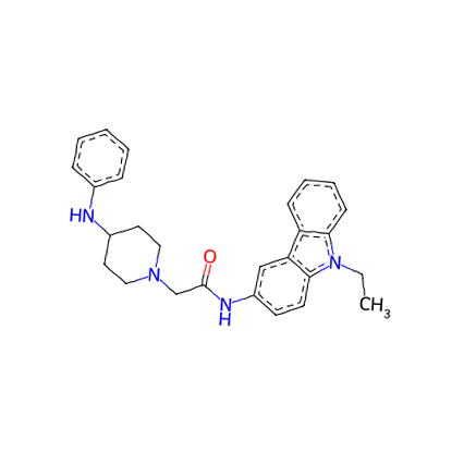 CCn1c2ccccc2c2cc(NC(=O)CN3CCC(Nc4ccccc4)CC3)ccc21